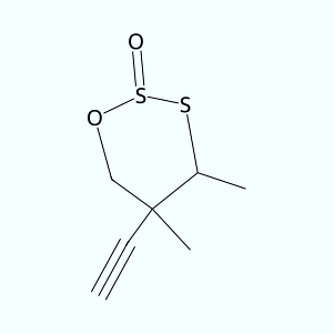 C#CC1(C)COS(=O)SC1C